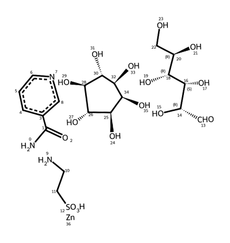 NC(=O)c1cccnc1.NCCS(=O)(=O)O.O=C[C@H](O)[C@@H](O)[C@H](O)[C@H](O)CO.O[C@H]1[C@H](O)[C@@H](O)[C@H](O)[C@@H](O)[C@H]1O.[Zn]